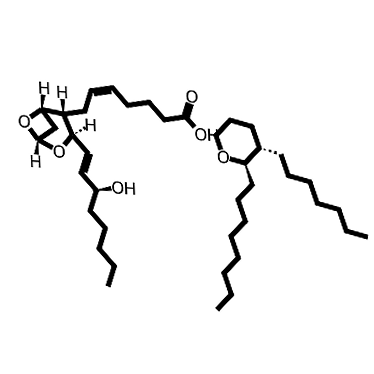 CCCCCCCC[C@H]1OCCC[C@@H]1CCCCCCC.CCCCC[C@H](O)/C=C/[C@H]1O[C@H]2C[C@H](O2)[C@@H]1C/C=C\CCCC(=O)O